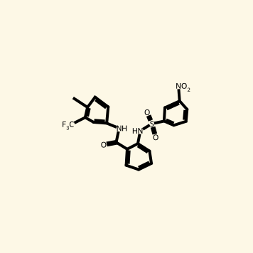 Cc1ccc(NC(=O)c2ccccc2NS(=O)(=O)c2cccc([N+](=O)[O-])c2)cc1C(F)(F)F